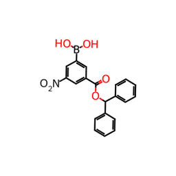 O=C(OC(c1ccccc1)c1ccccc1)c1cc(B(O)O)cc([N+](=O)[O-])c1